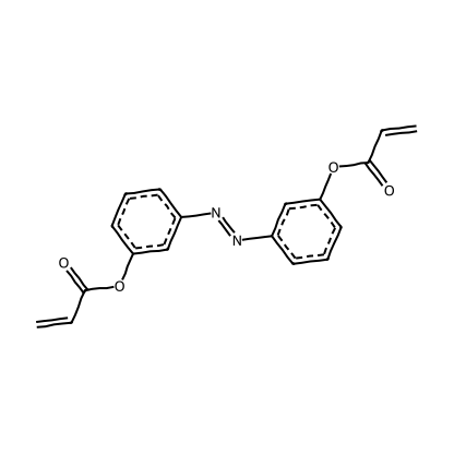 C=CC(=O)Oc1cccc(/N=N/c2cccc(OC(=O)C=C)c2)c1